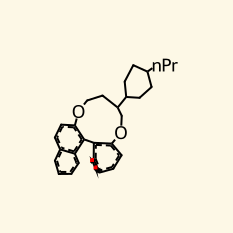 CCCC1CCC(C2CCOc3ccc4ccccc4c3-c3c(ccc4ccccc34)OC2)CC1